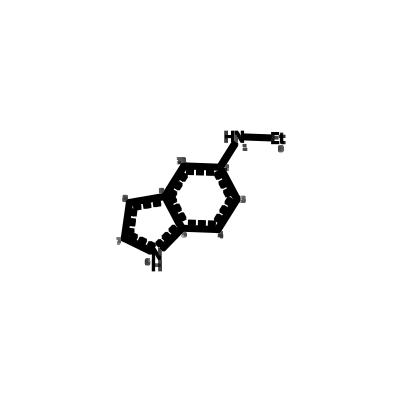 CCNc1ccc2[nH]ccc2c1